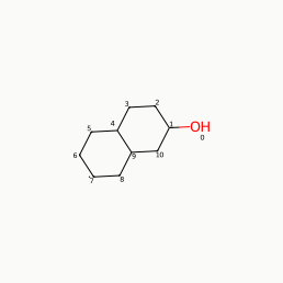 OC1CCC2CC[CH]CC2C1